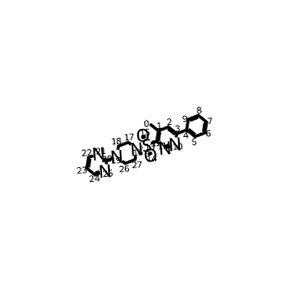 Cc1cc(-c2ccccc2)nnc1S(=O)(=O)N1CCN(c2ncccn2)CC1